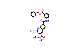 CCCN(CCC)C(=O)C1=Cc2ccc(C(=O)Nc3cccc(C(=O)OCc4ccccc4)c3)cc2N=C(N)C1